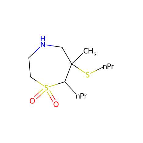 CCCSC1(C)CNCCS(=O)(=O)C1CCC